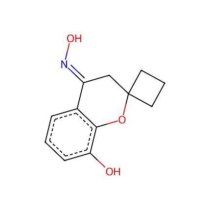 ON=C1CC2(CCC2)Oc2c(O)cccc21